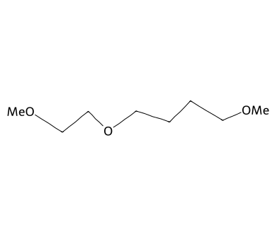 COCCCCOCCOC